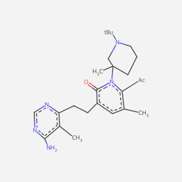 CC(=O)c1c(C)cc(CCc2ncnc(N)c2C)c(=O)n1C1(C)CCCN(C(C)(C)C)C1